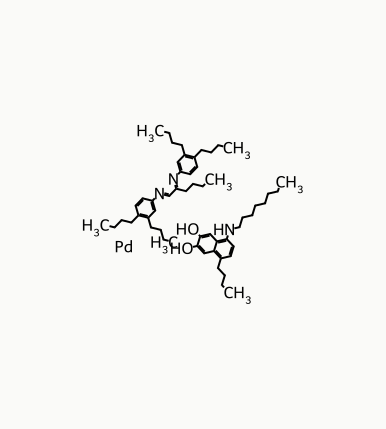 CCCCC(C=Nc1ccc(CCCC)c(CCCC)c1)=Nc1ccc(CCCC)c(CCCC)c1.CCCCCCCCNc1ccc(CCCC)c2cc(O)c(O)cc12.[Pd]